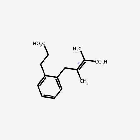 C/C(Cc1ccccc1CCC(=O)O)=C(/C)C(=O)O